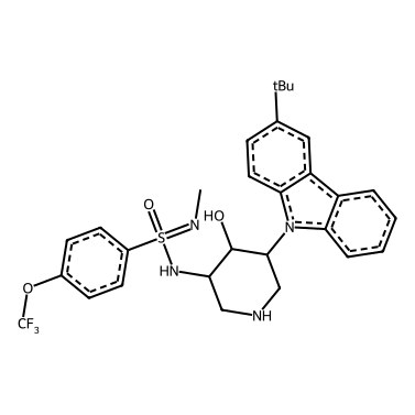 CN=S(=O)(NC1CNCC(n2c3ccccc3c3cc(C(C)(C)C)ccc32)C1O)c1ccc(OC(F)(F)F)cc1